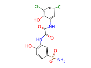 NS(=O)(=O)c1ccc(O)c(NC(=O)C(=O)Nc2cc(Cl)cc(Cl)c2O)c1